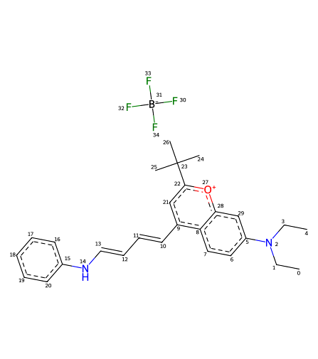 CCN(CC)c1ccc2c(/C=C/C=C/Nc3ccccc3)cc(C(C)(C)C)[o+]c2c1.F[B-](F)(F)F